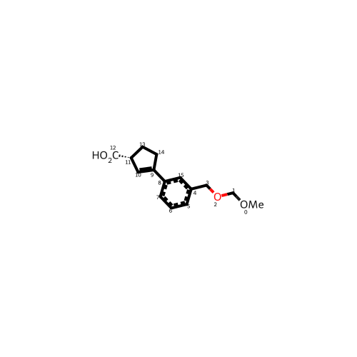 COCOCc1cccc(C2=C[C@H](C(=O)O)CC2)c1